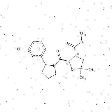 COC(=O)[C@@H]1OC(C)(C)O[C@H]1C(=O)N1CCCC1c1cccc(Cl)c1